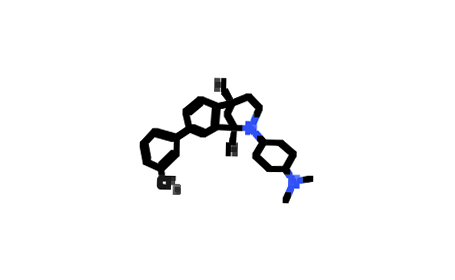 CN(C)C1CCC(N2CC[C@@H]3C[C@H]2c2cc(-c4cccc(C(F)(F)F)c4)ccc23)CC1